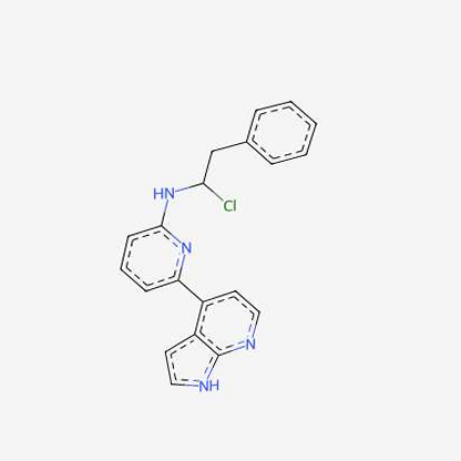 ClC(Cc1ccccc1)Nc1cccc(-c2ccnc3[nH]ccc23)n1